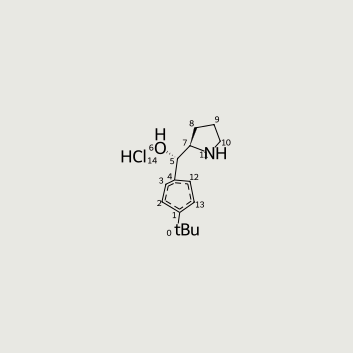 CC(C)(C)c1ccc([C@H](O)[C@H]2CCCN2)cc1.Cl